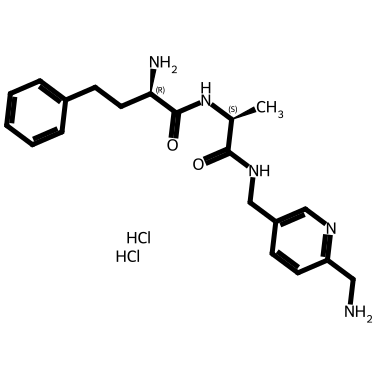 C[C@H](NC(=O)[C@H](N)CCc1ccccc1)C(=O)NCc1ccc(CN)nc1.Cl.Cl